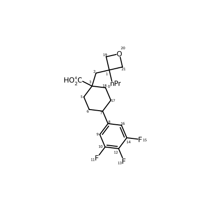 CCCC1(CC2(C(=O)O)CCC(c3cc(F)c(F)c(F)c3)CC2)COC1